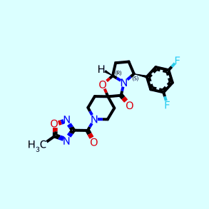 Cc1nc(C(=O)N2CCC3(CC2)O[C@@H]2CC[C@@H](c4cc(F)cc(F)c4)N2C3=O)no1